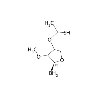 B[C@@H]1OCC(OC(C)S)C1OC